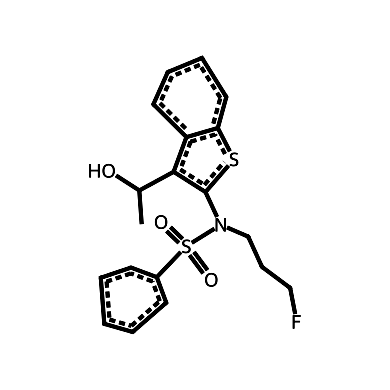 CC(O)c1c(N(CCCF)S(=O)(=O)c2ccccc2)sc2ccccc12